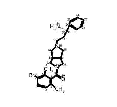 Cc1ccc(Br)c(C)c1C(=O)N1CC2CN(CC[C@H](N)c3ccccc3)CC2C1